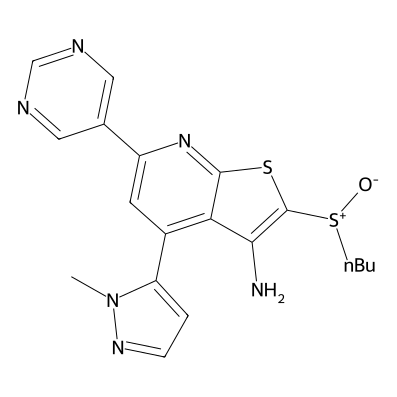 CCCC[S+]([O-])c1sc2nc(-c3cncnc3)cc(-c3ccnn3C)c2c1N